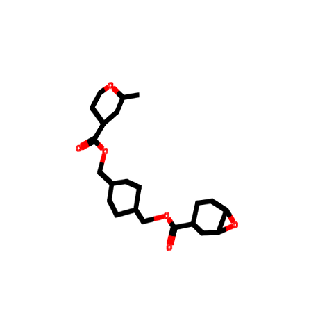 CC1CC(C(=O)OCC2CCC(COC(=O)C3CCC4OC4C3)CC2)CCO1